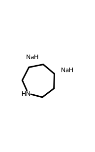 C1CCCNCC1.[NaH].[NaH]